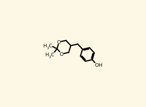 CC1(C)OCC(Cc2ccc(O)cc2)CO1